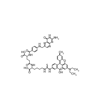 C=c1ccc2c(c1)Oc1cc(N(CC)CC)ccc1C=2c1ccc(NC(=S)NCCCCC(NC(=O)CCC(NC(=O)c2ccc(NCc3cnc4nc(N)[nH]c(=O)c4n3)cc2)C(=O)O)C(=O)O)cc1C(=O)O